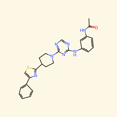 CC(=O)Nc1cccc(Nc2ncnc(N3CCC(c4nc(-c5ccccc5)cs4)CC3)n2)c1